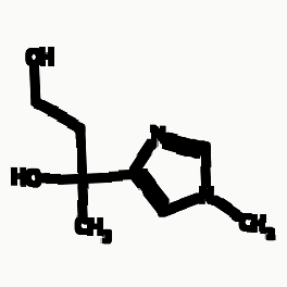 Cn1cnc(C(C)(O)CCO)c1